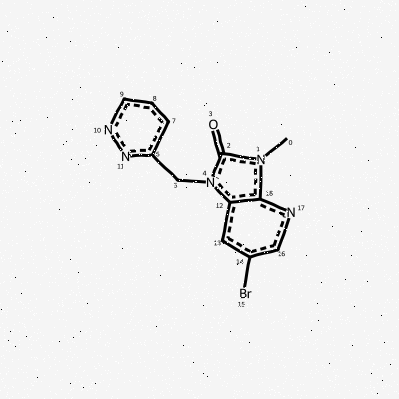 Cn1c(=O)n(Cc2cccnn2)c2cc(Br)cnc21